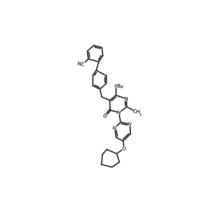 CCCCc1nc(C)n(-c2ncc(OC3CCCCC3)cn2)c(=O)c1Cc1ccc(-c2ccccc2C#N)cc1